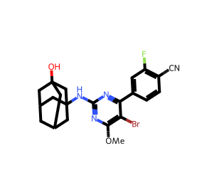 COc1nc(NC23CC4CC(CC(O)(C4)C2)C3)nc(-c2ccc(C#N)c(F)c2)c1Br